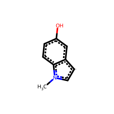 Cn1c[c]c2cc(O)ccc21